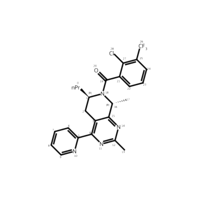 CCC[C@@H]1Cc2c(-c3ccccn3)nc(C)nc2[C@@H](C)N1C(=O)c1cccc(C(F)(F)F)c1Cl